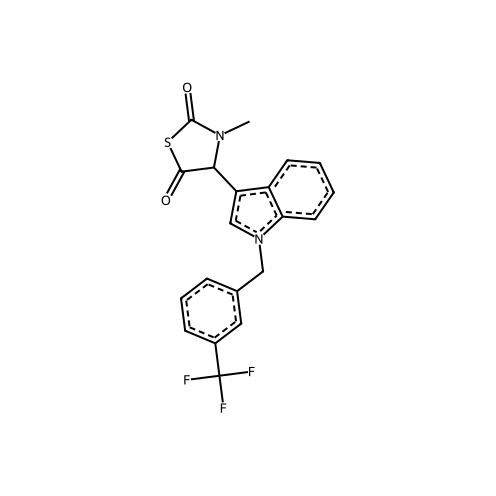 CN1C(=O)SC(=O)C1c1cn(Cc2cccc(C(F)(F)F)c2)c2ccccc12